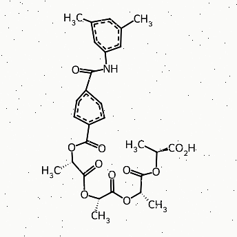 Cc1cc(C)cc(NC(=O)c2ccc(C(=O)O[C@@H](C)C(=O)O[C@@H](C)C(=O)O[C@@H](C)C(=O)O[C@@H](C)C(=O)O)cc2)c1